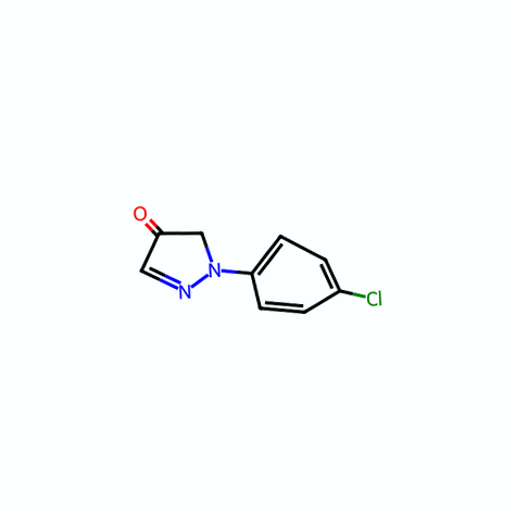 O=C1C=NN(c2ccc(Cl)cc2)C1